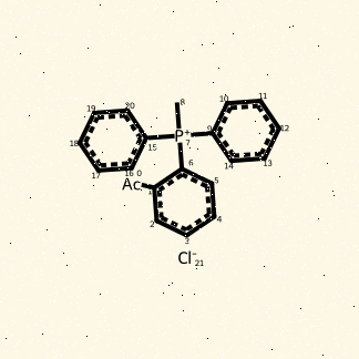 CC(=O)c1ccccc1[P+](C)(c1ccccc1)c1ccccc1.[Cl-]